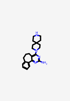 Nc1nc2c(c(N3CCC4(CCNCC4)CC3)n1)CCCc1ccccc1-2